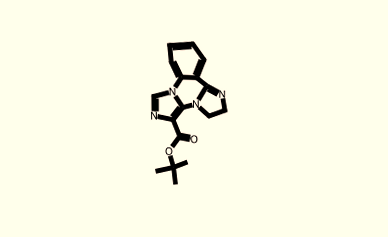 CC(C)(C)OC(=O)c1ncn2c1N1CCN=C1c1ccccc1-2